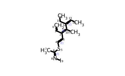 C=CC(/C=C/S/C(C)=N\I)=C(C)\C(=C/C)CC